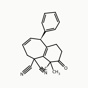 CC1(C)C(=O)CCC2=C1C(C#N)(C#N)CC=C[C@H]2c1ccccc1